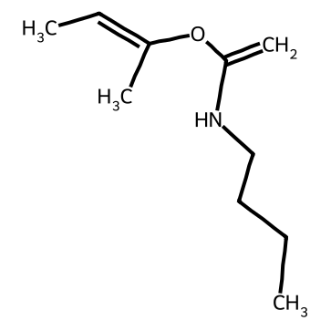 C=C(NCCCC)O/C(C)=C/C